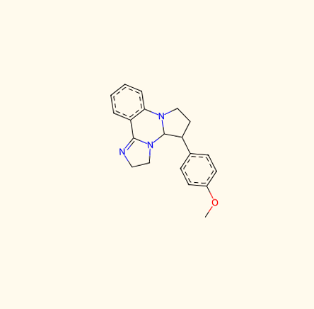 COc1ccc(C2CCN3c4ccccc4C4=NCCN4C23)cc1